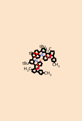 Cc1ccc2c3ccc(C)cc3n(-c3ccc4c(c3)N(c3c(-c5ccccc5)cc(C(C)(C)C)cc3-c3ccccc3)c3cc(C(C)(C)C)cc5c3B4c3ccc(-n4c6cc(C)ccc6c6ccc(C)cc64)cc3N5c3c(-c4ccccc4)cc(C(C)(C)C)cc3-c3ccccc3)c2c1